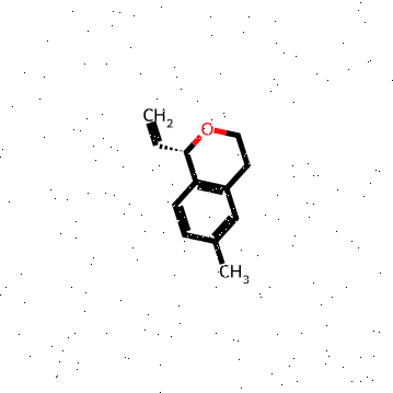 C=C[C@@H]1OCCc2cc(C)ccc21